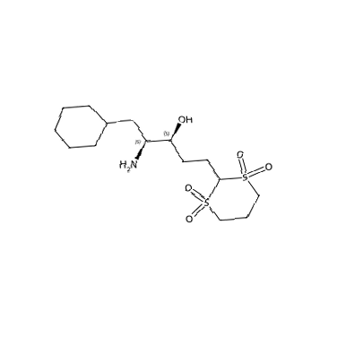 N[C@@H](CC1CCCCC1)[C@@H](O)CCC1S(=O)(=O)CCCS1(=O)=O